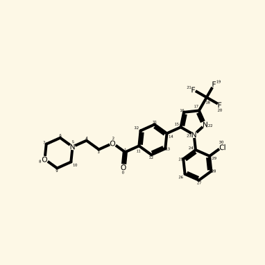 O=C(OCCN1CCOCC1)c1ccc(-c2cc(C(F)(F)F)nn2-c2ccccc2Cl)cc1